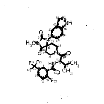 CC(C)[C@@H](NC(=O)c1cc(C(F)(F)F)ccc1F)C(=O)N1CCC2(CC1)C(=O)N(C)C(=O)N2c1ccc2[nH]ncc2c1